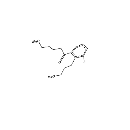 COCCCCC(=O)c1cccc(F)c1CCCOC